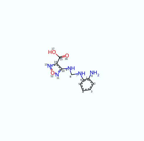 Nc1ccccc1NCNc1nonc1C(=O)O